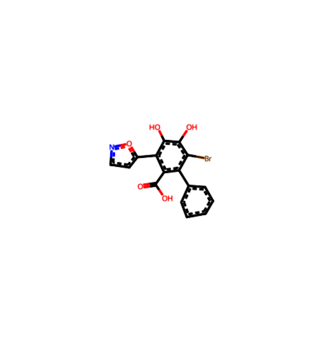 O=C(O)c1c(-c2ccno2)c(O)c(O)c(Br)c1-c1ccccc1